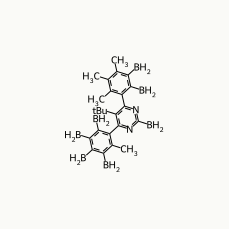 Bc1nc(-c2c(B)c(B)c(B)c(B)c2C)c(C(C)(C)C)c(-c2c(B)c(B)c(C)c(C)c2C)n1